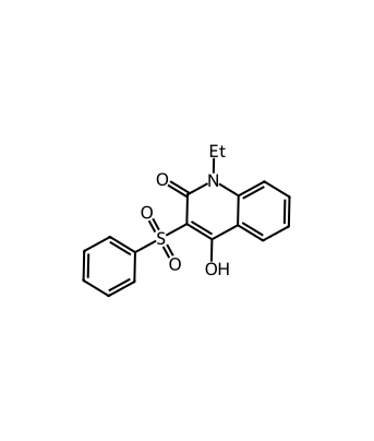 CCn1c(=O)c(S(=O)(=O)c2ccccc2)c(O)c2ccccc21